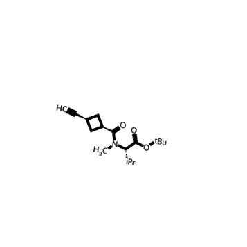 C#C[C@H]1C[C@@H](C(=O)N(C)[C@H](C(=O)OC(C)(C)C)C(C)C)C1